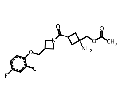 CC(=O)OC[C@]1(N)C[C@@H](C(=O)N2CC(COc3ccc(F)cc3Cl)C2)C1